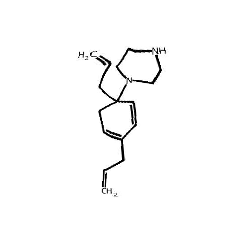 C=CCC1=CCC(CC=C)(N2CCNCC2)C=C1